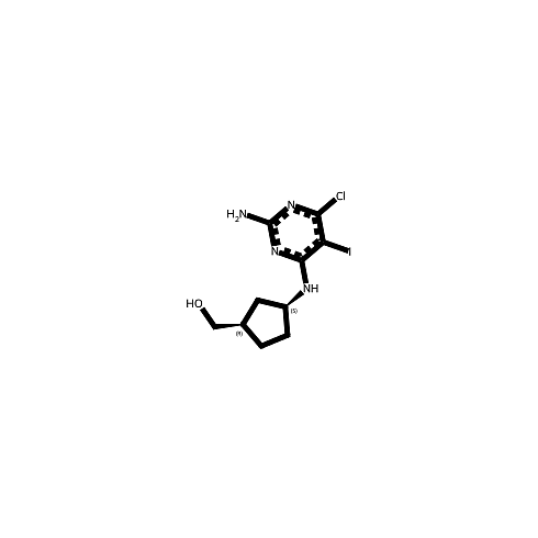 Nc1nc(Cl)c(I)c(N[C@H]2CC[C@@H](CO)C2)n1